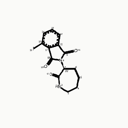 O=C1NCCCC[C@@H]1N1C(=O)c2cccc(I)c2C1=O